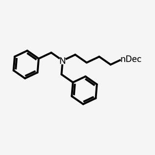 CCCCCCCCCCCCCCN(Cc1ccccc1)Cc1ccccc1